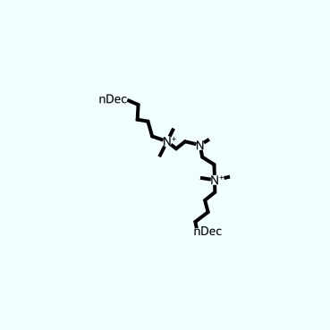 CCCCCCCCCCCCCC[N+](C)(C)CCN(C)CC[N+](C)(C)CCCCCCCCCCCCCC